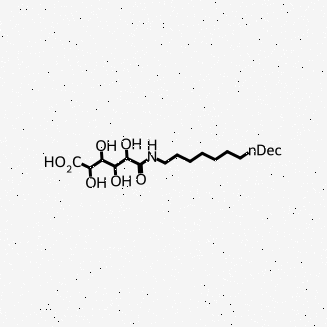 CCCCCCCCCCCCCCCCCNC(=O)C(O)C(O)C(O)C(O)C(=O)O